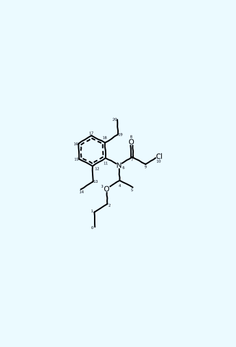 CCCOC(C)N(C(=O)CCl)c1c(CC)cccc1CC